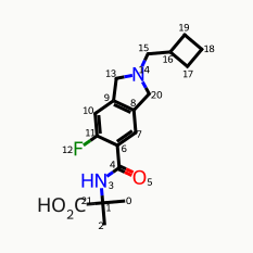 CC(C)(NC(=O)c1cc2c(cc1F)CN(CC1CCC1)C2)C(=O)O